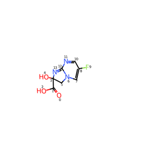 O=C(O)C1(O)CN2C=C(F)C=NC2=N1